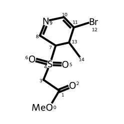 COC(=O)CS(=O)(=O)C1C=NC=C(Br)C1C